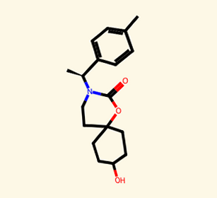 Cc1ccc([C@H](C)N2CCC3(CCC(O)CC3)OC2=O)cc1